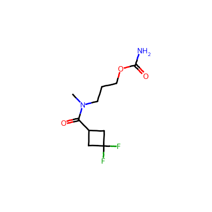 CN(CCCOC(N)=O)C(=O)C1CC(F)(F)C1